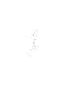 C=C1C[C@@H](Nc2cccc3c2cc(C#CCNc2ccc(C(N)=O)cc2OC)n3CC(F)(F)F)C[C@H](C)O1